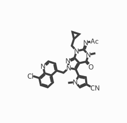 CC(=O)N=c1n(C)c(=O)c2c(-c3cc(C#N)cn3C)n(Cc3ccnc4c(Cl)cccc34)nc2n1CC1CC1